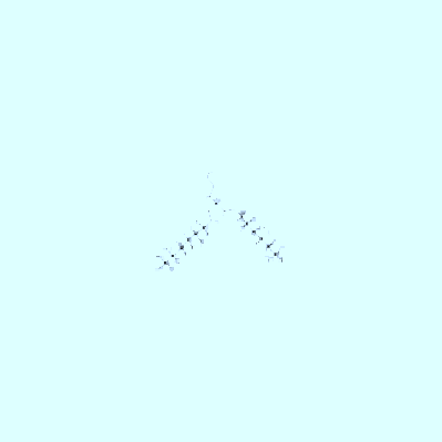 OCCCC(O)(CCC(F)(F)C(F)(F)C(F)(F)C(F)(F)C(F)(F)C(F)(F)F)CCC(F)(F)C(F)(F)C(F)(F)C(F)(F)C(F)(F)C(F)(F)F